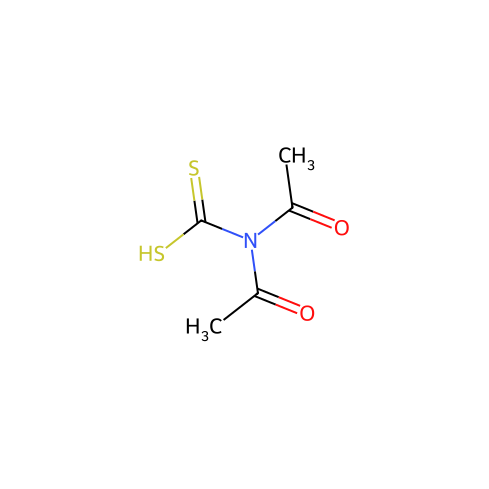 CC(=O)N(C(C)=O)C(=S)S